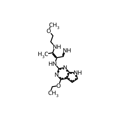 CCOc1nc(N/C(C=N)=C(\C)NCCOC)nc2[nH]ccc12